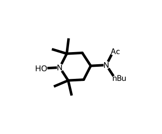 CCCCN(C(C)=O)C1CC(C)(C)N(O)C(C)(C)C1